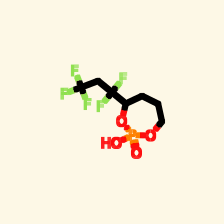 O=P1(O)OCCCC(C(F)(F)CC(F)(F)F)O1